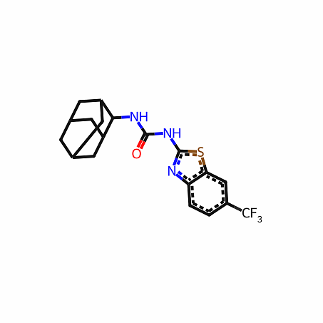 O=C(Nc1nc2ccc(C(F)(F)F)cc2s1)NC1C2CC3CC(C2)CC1C3